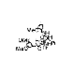 CCC(NC(=O)[C@H](CC(C)C)NC(=O)NCc1ccc(C)cc1OC)C(O)C(=O)NCc1cc(OC)cc(OC)c1